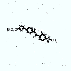 CCOC(=O)c1nc(-c2ccc(NC(=O)c3ccc(S(C)(=O)=O)cc3Cl)cc2)cs1